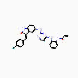 C=CC(=O)Nc1ccccc1Nc1nc(Nc2ccc3c(c2)/C(=C/c2ccc(C(F)(F)F)cc2)C(=O)N3)ncc1F